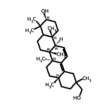 CC1(CO)CC[C@]2(C)CC[C@]3(C)C(=C2C1)C=C[C@@H]1[C@@]2(C)CC[C@H](O)C(C)(C)C2CC[C@]13C